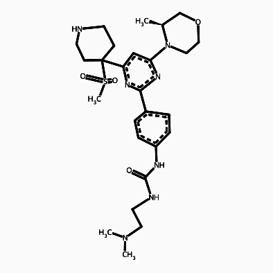 C[C@H]1COCCN1c1cc(C2(S(C)(=O)=O)CCNCC2)nc(-c2ccc(NC(=O)NCCN(C)C)cc2)n1